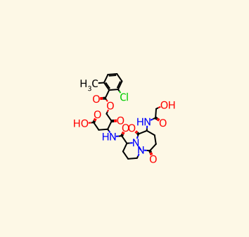 Cc1cccc(Cl)c1C(=O)OCC(=O)C(CC(=O)O)NC(=O)C1CCCN2C(=O)CCC(NC(=O)CO)C(=O)N12